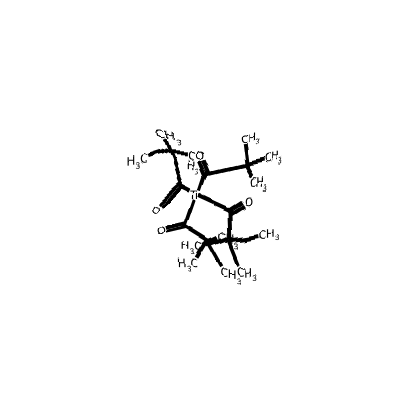 CC(C)(C)[C](=O)[Ti]([C](=O)C(C)(C)C)([C](=O)C(C)(C)C)[C](=O)C(C)(C)C